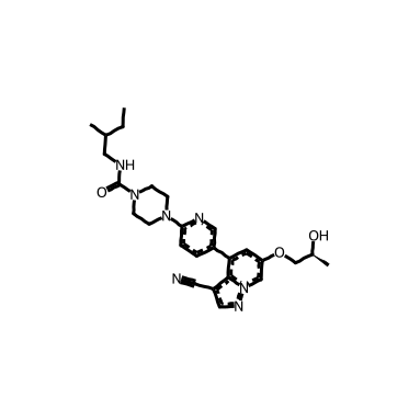 CCC(C)CNC(=O)N1CCN(c2ccc(-c3cc(OC[C@H](C)O)cn4ncc(C#N)c34)cn2)CC1